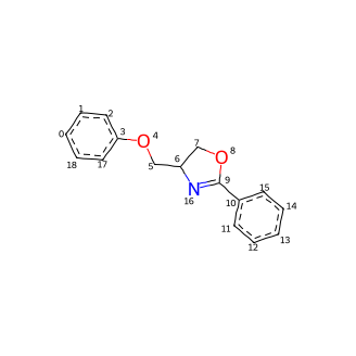 c1ccc(OCC2COC(c3ccccc3)=N2)cc1